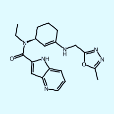 CCN(C(=O)c1cc2ncccc2[nH]1)[C@@H]1C=C(NCc2nnc(C)o2)CCC1